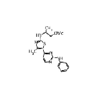 COCC(C)Nc1nc(C)c(-c2ccnc(Nc3ccccc3)n2)s1